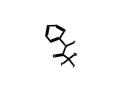 O=C(N(F)c1ccccc1)C(F)(F)Br